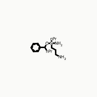 CCCC(O[Si](N)(CCC)CCCN)c1ccccc1